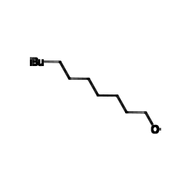 CCC(C)CCCCCCC[O]